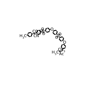 CCOC(=O)C(C#N)(c1ccc(C)cc1)c1ccc(S(=O)(=O)c2ccc(Oc3ccc(S(=O)(=O)c4ccc(Oc5ccc(CC(C)(C)C(C)=O)cc5)cc4)cc3)cc2)cc1